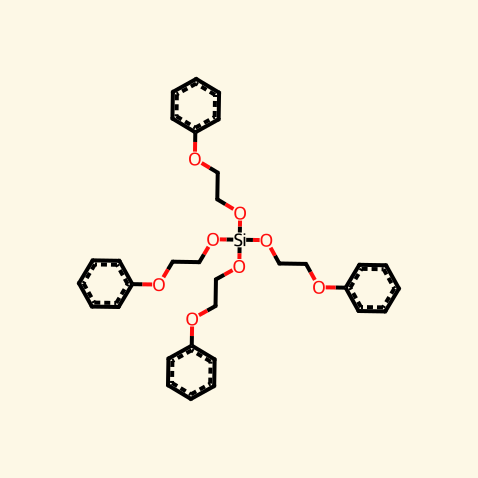 c1ccc(OCCO[Si](OCCOc2ccccc2)(OCCOc2ccccc2)OCCOc2ccccc2)cc1